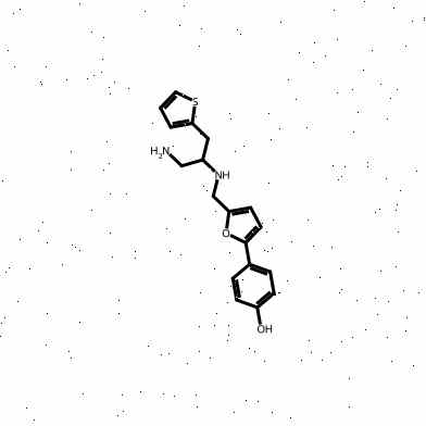 NCC(Cc1cccs1)NCc1ccc(-c2ccc(O)cc2)o1